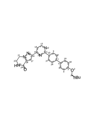 CC[C@H](C)COc1ccc(-c2ccc(-c3nccc(-c4cc5n(n4)CCNC5=O)n3)cc2)cc1